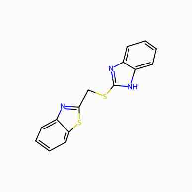 c1ccc2[nH]c(SCc3nc4ccccc4s3)nc2c1